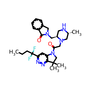 CCCC(F)(F)c1cc2c(nn1)C(C)(C)CN2C(=O)CN1C[C@@H](C)NC[C@@H]1CN1Cc2ccccc2C1=O